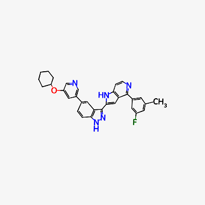 Cc1cc(F)cc(-c2nccc3[nH]c(-c4n[nH]c5ccc(-c6cncc(OC7CCCCC7)c6)cc45)cc23)c1